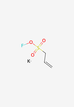 C=CCS(=O)(=O)OF.[K]